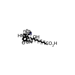 CCC/C=C\C[C@H]1[C@H](CC(=O)[C@H](O)CCCCCCCC(=O)O)O[C@@]2(O)CC13C(=CC2=O)NC[C@H]3O